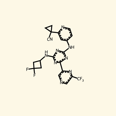 N#CC1(c2cc(Nc3nc(NC4CC(F)(F)C4)nc(-c4cncc(C(F)(F)F)n4)n3)ccn2)CC1